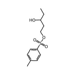 CCC(O)CCOS(=O)(=O)c1ccc(C)cc1